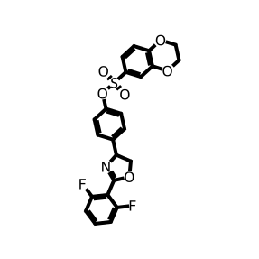 O=S(=O)(Oc1ccc(C2COC(c3c(F)cccc3F)=N2)cc1)c1ccc2c(c1)OCCO2